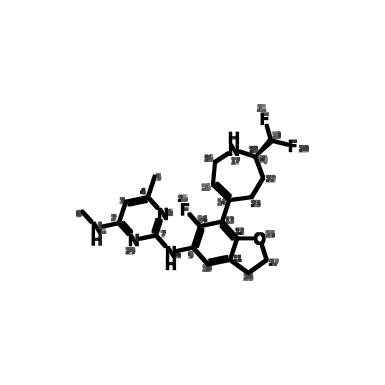 CNc1cc(C)nc(Nc2cc3c(c(C4=CCN[C@@H](C(F)F)CC4)c2F)OCC3)n1